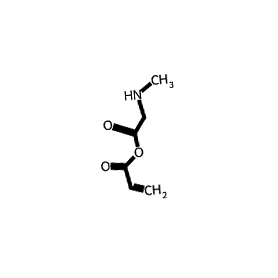 C=CC(=O)OC(=O)CNC